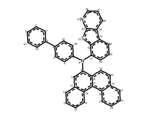 c1ccc(-c2ccc(N(c3cc4ccccc4c4c3ccc3ccccc34)c3cccc4c3sc3ncccc34)cc2)cc1